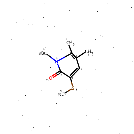 CCCCn1c(C)c(C)cc(SC#N)c1=O